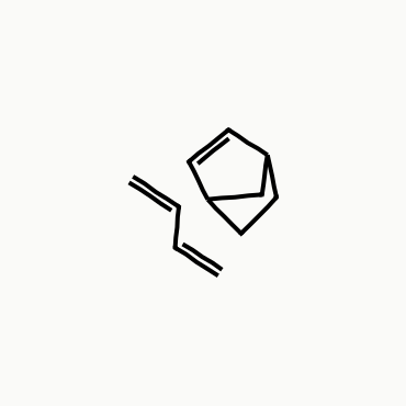 C1=CC2CCC1C2.C=CC=C